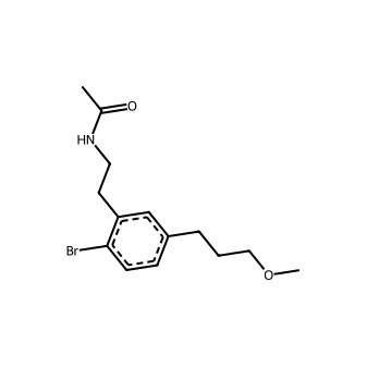 COCCCc1ccc(Br)c(CCNC(C)=O)c1